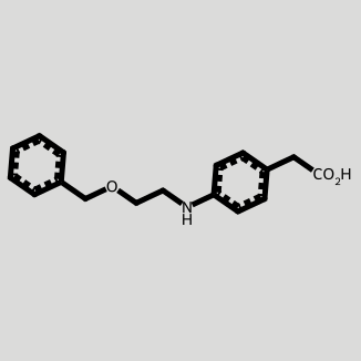 O=C(O)Cc1ccc(NCCOCc2ccccc2)cc1